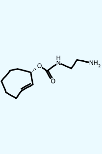 NCCNC(=O)O[C@@H]1/C=C/CCCCC1